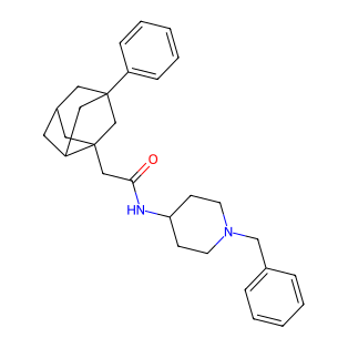 O=C(CC12CC3CC1CC(c1ccccc1)(C3)C2)NC1CCN(Cc2ccccc2)CC1